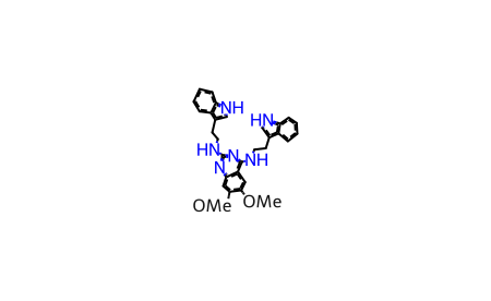 COc1cc2nc(NCCc3c[nH]c4ccccc34)nc(NCCc3c[nH]c4ccccc34)c2cc1OC